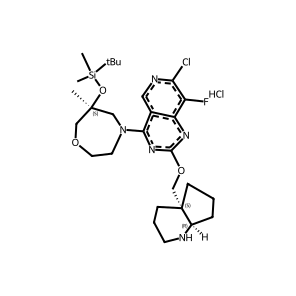 CC(C)(C)[Si](C)(C)O[C@]1(C)COCCN(c2nc(OC[C@@]34CCCN[C@@H]3CCC4)nc3c(F)c(Cl)ncc23)C1.Cl